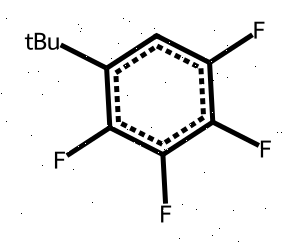 CC(C)(C)c1cc(F)c(F)c(F)c1F